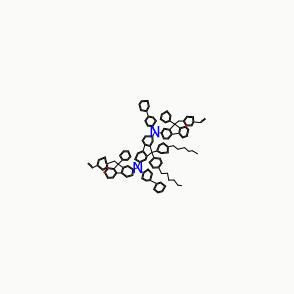 C=Cc1ccc(CC2(c3ccccc3)c3ccccc3-c3ccc(N(c4ccc(-c5ccccc5)cc4)c4ccc5c(c4)C(c4ccc(CCCCCC)cc4)(c4ccc(CCCCCC)cc4)c4cc(N(c6ccc(-c7ccccc7)cc6)c6ccc7c(c6)C(Cc6ccc(C=C)cc6)(c6ccccc6)c6ccccc6-7)ccc4-5)cc32)cc1